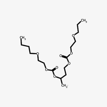 [CH2]C(CCOC(=O)OCCOCCC)OC(=O)OCCOCCCC